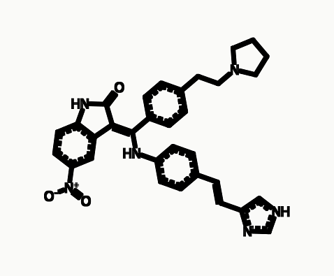 O=C1Nc2ccc([N+](=O)[O-])cc2C1=C(Nc1ccc(C=Cc2c[nH]cn2)cc1)c1ccc(CCN2CCCC2)cc1